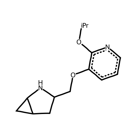 CC(C)Oc1ncccc1OCC1CC2CC2N1